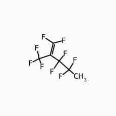 CC(F)(F)C(F)(F)C(=C(F)F)C(F)(F)F